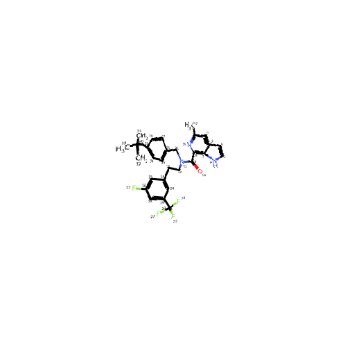 Cc1cc2cc[nH]c2c(C(=O)N(CCc2cc(F)cc(C(F)(F)F)c2)Cc2ccc(C(C)(C)C)cc2)n1